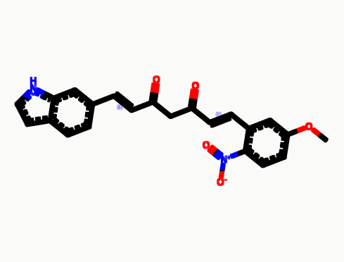 COc1ccc([N+](=O)[O-])c(/C=C/C(=O)CC(=O)/C=C/c2ccc3cc[nH]c3c2)c1